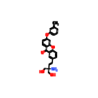 Cc1cccc(Oc2ccc3c(=O)c4cc(CCC(N)(CO)CO)ccc4oc3c2)c1